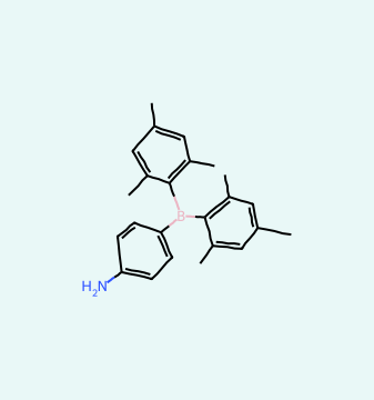 Cc1cc(C)c(B(c2ccc(N)cc2)c2c(C)cc(C)cc2C)c(C)c1